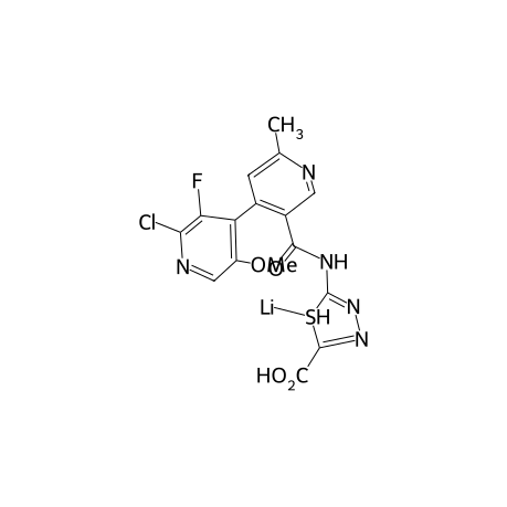 [Li][SH]1C(NC(=O)c2cnc(C)cc2-c2c(OC)cnc(Cl)c2F)=NN=C1C(=O)O